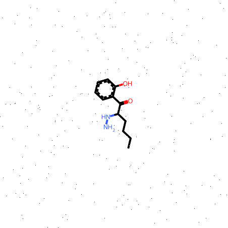 CCCCC(NN)C(=O)c1ccccc1O